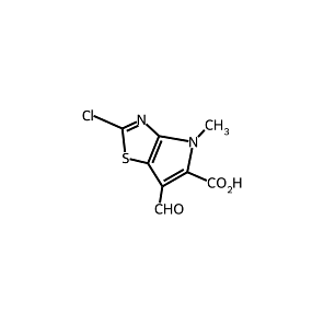 Cn1c(C(=O)O)c(C=O)c2sc(Cl)nc21